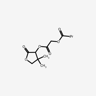 CC(C)C(=O)OCC(=O)OC1C(=O)OCC1(C)C